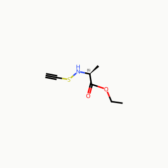 C#CSN[C@@H](C)C(=O)OCC